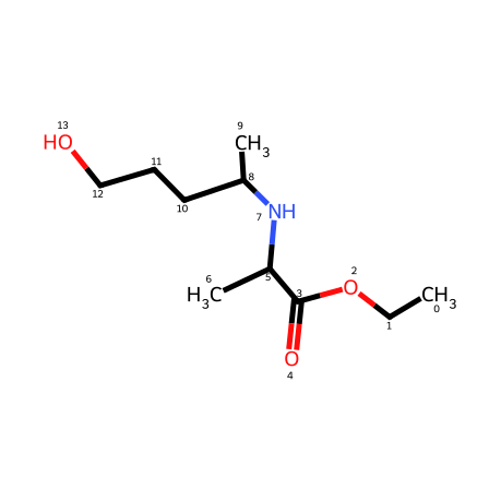 CCOC(=O)C(C)NC(C)CCCO